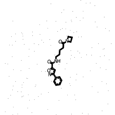 O=C(NCCCCC(=O)N1CCC1)c1cc(-c2ccccc2)no1